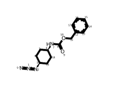 [N-]=[N+]=N[C@H]1CC[C@@H](NC(=O)OCc2ccccc2)CC1